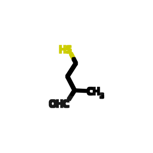 CC(C=O)CCS